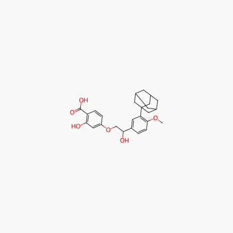 COc1ccc(C(O)COc2ccc(C(=O)O)c(O)c2)cc1C12CC3CC(CC(C3)C1)C2